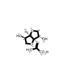 CC(=C[C@]12OC[C@@H](O)[C@H]1OC[C@@H]2O)C(=O)O